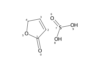 O=C1C=CCO1.O=S(O)O